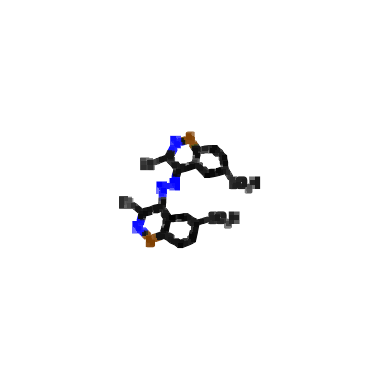 CCc1nsc2ccc(S(=O)(=O)O)cc2c1=NN=c1c(CC)nsc2ccc(S(=O)(=O)O)cc12